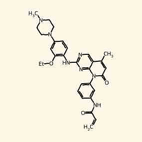 C=CC(=O)Nc1cccc(-n2c(=O)cc(C)c3cnc(Nc4ccc(N5CCN(C)CC5)cc4OCC)nc32)c1